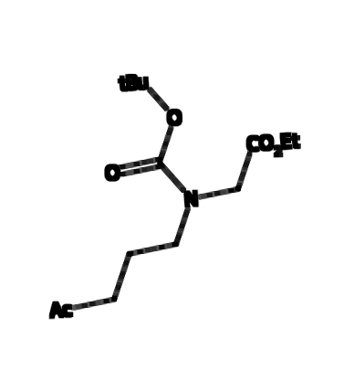 CCOC(=O)CN(CCCC(C)=O)C(=O)OC(C)(C)C